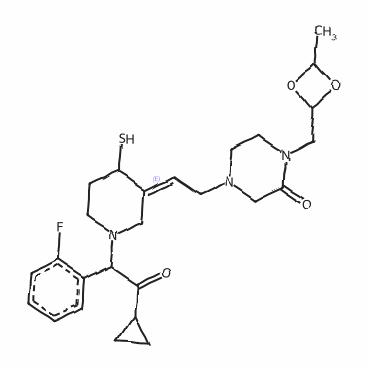 CC1OC(CN2CCN(C/C=C3\CN(C(C(=O)C4CC4)c4ccccc4F)CCC3S)CC2=O)O1